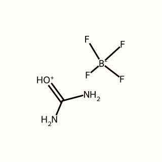 F[B-](F)(F)F.NC(N)=[OH+]